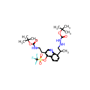 CC(CNNC(=O)OC(C)(C)C)c1cccc2c(OS(=O)(=O)C(F)(F)F)c(CCNC(=O)OC(C)(C)C)cnc12